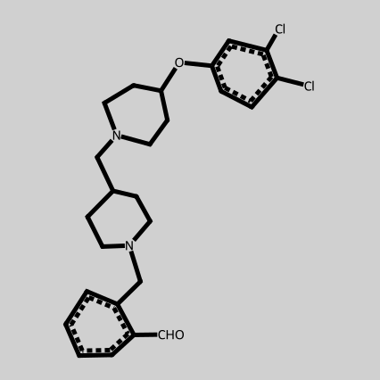 O=Cc1ccccc1CN1CCC(CN2CCC(Oc3ccc(Cl)c(Cl)c3)CC2)CC1